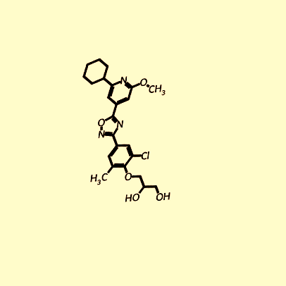 COc1cc(-c2nc(-c3cc(C)c(OCC(O)CO)c(Cl)c3)no2)cc(C2CCCCC2)n1